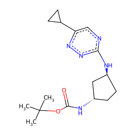 CC(C)(C)OC(=O)N[C@H]1CC[C@H](Nc2ncc(C3CC3)nn2)C1